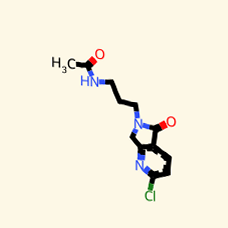 CC(=O)NCCCN1Cc2nc(Cl)ccc2C1=O